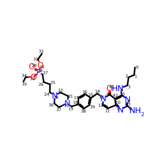 CCCCNc1nc(N)nc2ccn(Cc3ccc(CN4CCN(CCCCP(=O)(OCC)OCC)CC4)cc3)c(=O)c12